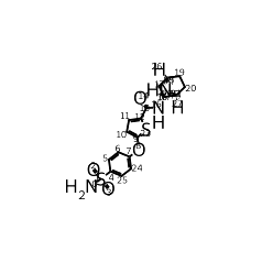 NS(=O)(=O)c1ccc(Oc2ccc(C(=O)N[C@@H]3C[C@H]4CC[C@@H]3N4)s2)cc1